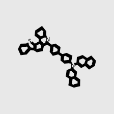 c1ccc2cc(N(c3ccc(-c4ccc(-c5nc6ccccc6c6c5ccc5c7ccccc7sc56)cc4)cc3)c3ccc4ccccc4c3)ccc2c1